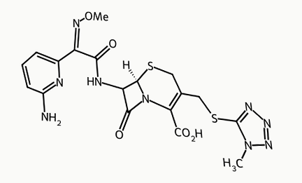 CO/N=C(\C(=O)NC1C(=O)N2C(C(=O)O)=C(CSc3nnnn3C)CS[C@H]12)c1cccc(N)n1